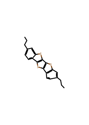 CCCc1ccc2c(c1)sc1c2sc2c3ccc(CCC)cc3sc21